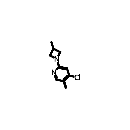 Cc1cnc(N2CC(C)C2)cc1Cl